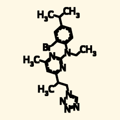 CCN(c1nc(C)cc(C(C)Cn2cnnn2)n1)c1ccc(C(C)C)cc1Br